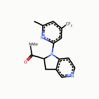 CNC(=O)C1Cc2cnccc2N1c1cc(C(F)(F)F)cc(C)n1